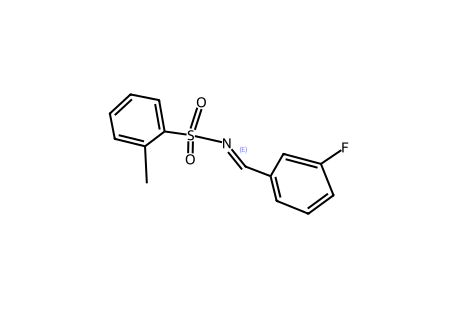 Cc1ccccc1S(=O)(=O)/N=C/c1cccc(F)c1